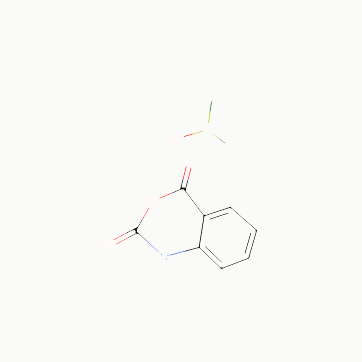 O=c1[nH]c2ccccc2c(=O)o1.[O-][S+](Cl)Cl